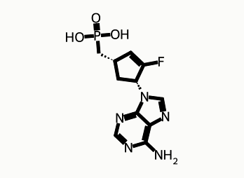 Nc1ncnc2c1ncn2[C@@H]1C[C@H](CP(=O)(O)O)C=C1F